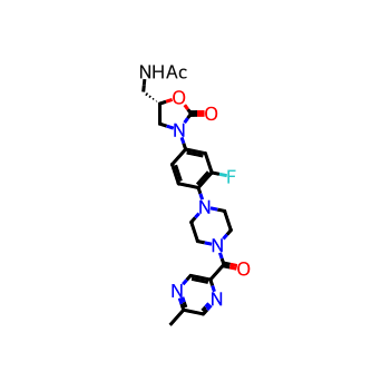 CC(=O)NC[C@H]1CN(c2ccc(N3CCN(C(=O)c4cnc(C)cn4)CC3)c(F)c2)C(=O)O1